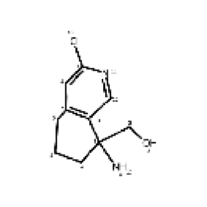 NC1(CO)CCCc2cc(Cl)ncc21